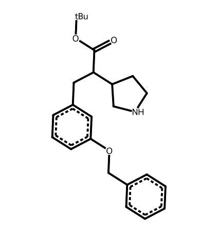 CC(C)(C)OC(=O)C(Cc1cccc(OCc2ccccc2)c1)C1CCNC1